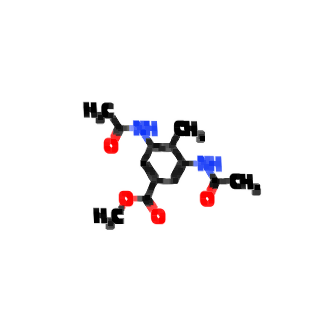 COC(=O)c1cc(NC(C)=O)c(C)c(NC(C)=O)c1